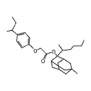 CCCCC(C)C1(OC(=O)COc2ccc(C(C)CC)cc2)C2CC3CC1CC(C)(C3)C2